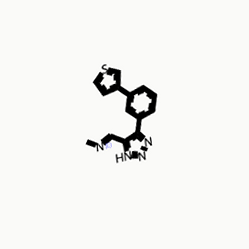 C/N=C/c1[nH]nnc1-c1cccc(-c2ccsc2)c1